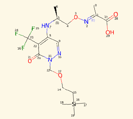 C/C(=N\OC[C@H](C)Nc1cnn(COCC[Si](C)(C)C)c(=O)c1C(F)(F)F)C(=O)O